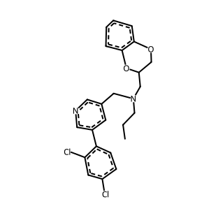 CCCN(Cc1cncc(-c2ccc(Cl)cc2Cl)c1)CC1COc2ccccc2O1